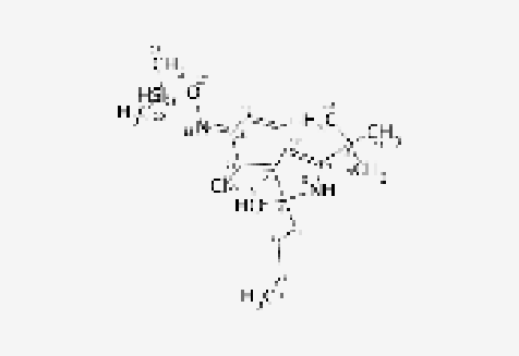 CCCCC1(O)NC(C(C)(C)C)=C2C=CC(=NO[SiH](C)C)C(Cl)=C21